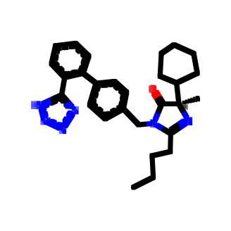 CCCCC1=N[C@](C)(C2CCCCC2)C(=O)N1Cc1ccc(-c2ccccc2-c2nnn[nH]2)cc1